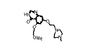 COCCOc1cc(OCCN2CCN(C)CC2)cc2nc[nH]c(=O)c12